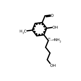 Cc1cc(C=O)c(O)c([C@H](N)CCCO)c1